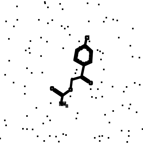 NC(=O)OCC(=O)c1ccc(Cl)cc1